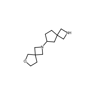 C1CC2(CO1)CN(C1CCC3(CNC3)C1)C2